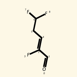 O=CC(F)=CCC(F)F